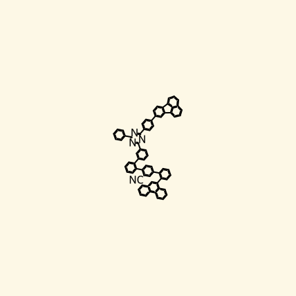 N#Cc1cc(-c2ccccc2-c2cc3ccccc3c3ccccc23)ccc1-c1ccccc1-c1cccc(-c2nc(-c3ccccc3)nc(-c3ccc(-c4ccc5c(c4)-c4cccc6cccc-5c46)cc3)n2)c1